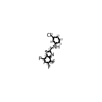 Fc1cc(F)c2sc(CNc3cccc(Cl)c3)nc2c1F